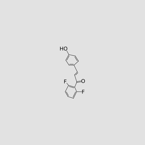 O=C(/C=C/c1ccc(O)cc1)c1c(F)cccc1F